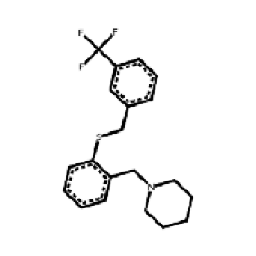 FC(F)(F)c1cccc(CSc2ccccc2CN2CCCCC2)c1